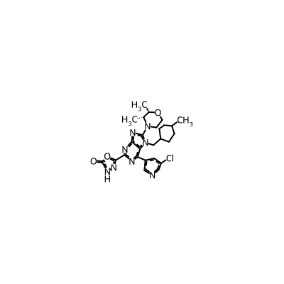 CC1CCC(Cn2c(N3CCO[C@H](C)[C@H]3C)nc3nc(-c4n[nH]c(=O)o4)nc(-c4cncc(Cl)c4)c32)CC1